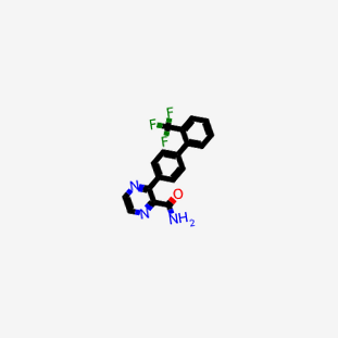 NC(=O)c1nccnc1-c1ccc(-c2ccccc2C(F)(F)F)cc1